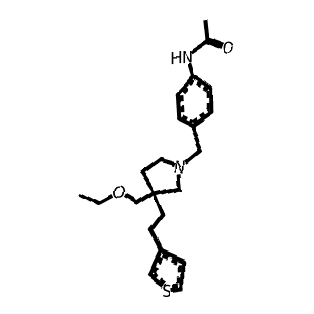 CCOCC1(CCc2ccsc2)CCN(Cc2ccc(NC(C)=O)cc2)C1